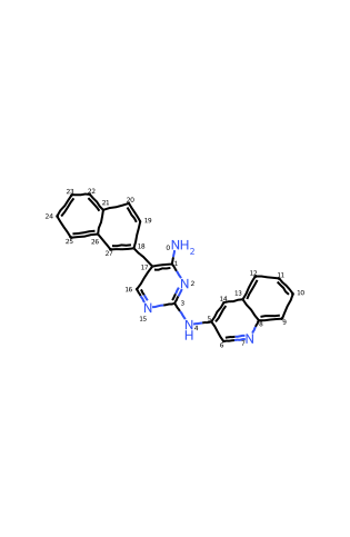 Nc1nc(Nc2cnc3ccccc3c2)ncc1-c1ccc2ccccc2c1